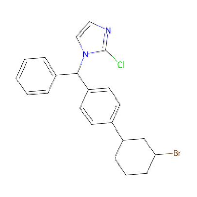 Clc1nccn1C(c1ccccc1)c1ccc(C2CCCC(Br)C2)cc1